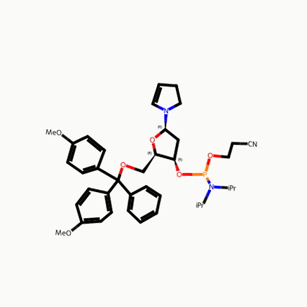 COc1ccc(C(OC[C@H]2O[C@@H](N3C=CCC3)C[C@H]2OP(OCCC#N)N(C(C)C)C(C)C)(c2ccccc2)c2ccc(OC)cc2)cc1